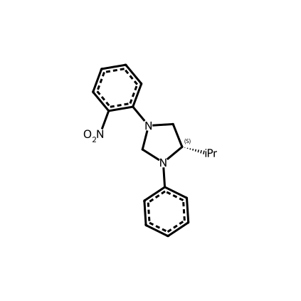 CC(C)[C@H]1CN(c2ccccc2[N+](=O)[O-])CN1c1ccccc1